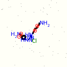 NCCOCCOCCNc1nc(Cl)nc(Nc2ccc(S(N)(=O)=O)cc2)n1